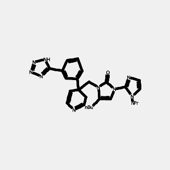 CCCCc1cn(-c2nccn2CCC)c(=O)n1CC1(c2cccc(-c3nnn[nH]3)c2)C=CN=CC1